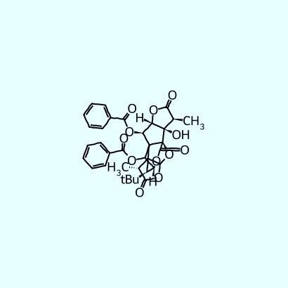 C[C@@H]1C(=O)O[C@H]2[C@H](OC(=O)c3ccccc3)C34C(OC(=O)c5ccccc5)[C@@H]5OC(=O)[C@@]3(OC3OC(=O)[C@H](C)C34[C@@H]5C(C)(C)C)[C@@]12O